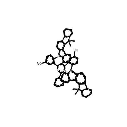 CC1(C)c2ccccc2-c2ccc3c(c21)c1ccccc1n3-c1ccc(C#N)cc1-c1cc(-c2cc(C#N)ccc2-n2c3ccccc3c3c4c(ccc32)-c2ccccc2C4(C)C)nc(-c2ccccc2)n1